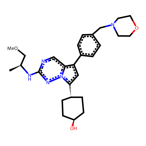 COC[C@H](C)Nc1ncc2c(-c3ccc(CN4CCOCC4)cc3)cc([C@H]3CC[C@H](O)CC3)n2n1